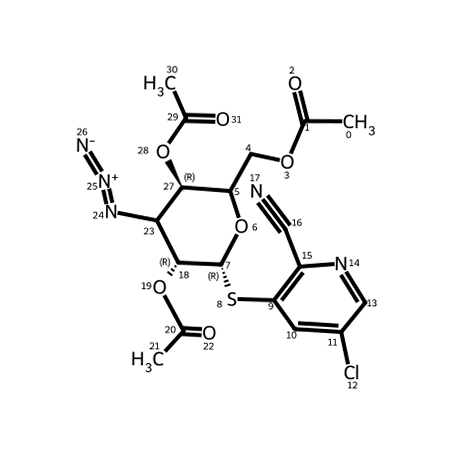 CC(=O)OCC1O[C@H](Sc2cc(Cl)cnc2C#N)[C@H](OC(C)=O)C(N=[N+]=[N-])[C@H]1OC(C)=O